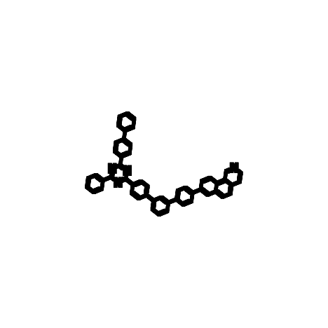 c1ccc(-c2ccc(-c3nc(-c4ccccc4)nc(-c4ccc(-c5cccc(-c6ccc(-c7ccc8c(ccc9ccncc98)c7)cc6)c5)cc4)n3)cc2)cc1